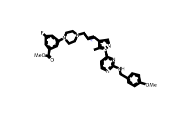 COC(=O)c1cc(F)cc(N2CCN(C/C=C/c3cnn(-c4ccnc(NCc5ccc(OC)cc5)n4)c3C)CC2)c1